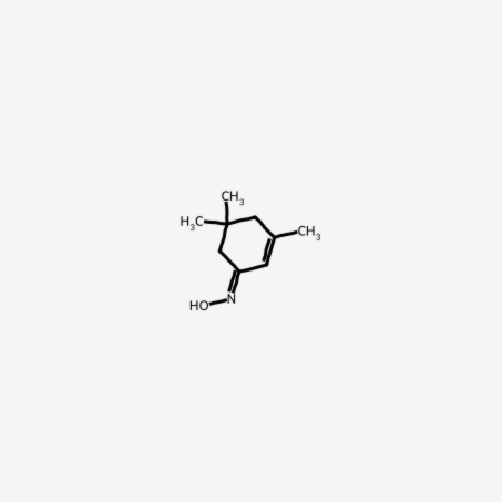 CC1=CC(=NO)CC(C)(C)C1